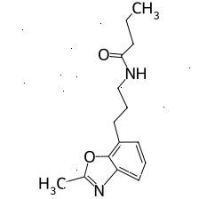 CCCC(=O)NCCCc1cccc2nc(C)oc12